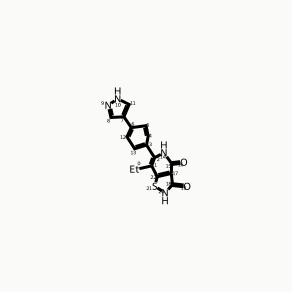 CCc1c(-c2ccc(-c3cn[nH]c3)cc2)[nH]c(=O)c2c(=O)[nH]sc12